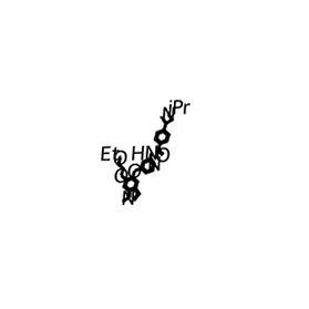 CCOCCOc1cc2c(ccn2C)cc1Oc1ccnc(NC(=O)c2ccc(C3CN(C(C)C)C3)cc2)c1